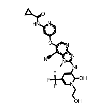 Cn1c(NC2=CC(C(F)(F)F)=CN(CCO)C2O)nc2ncc(Oc3ccnc(NC(=O)C4CC4)c3)c(C#N)c21